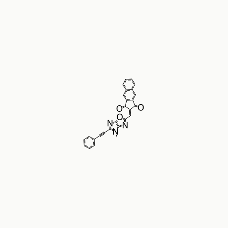 Cn1c(C#Cc2ccccc2)nc2oc(C=C3C(=O)c4cc5ccccc5cc4C3=O)nc21